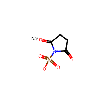 O=C1CCC(=O)N1S(=O)(=O)[O-].[Na+]